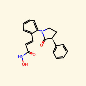 O=C(C=Cc1ccccc1N1CC[C@@H](c2ccccc2)C1=O)NO